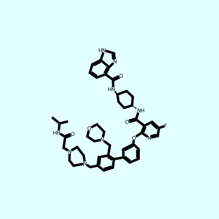 CC(C)NC(=O)CN1CCN(Cc2ccc(-c3cccc(Oc4ncc(F)cc4C(=O)N[C@H]4CC[C@H](NC(=O)c5cccc6[nH]cnc56)CC4)c3)c(CN3CCOCC3)c2)CC1